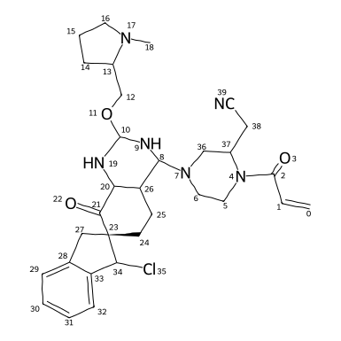 C=CC(=O)N1CCN(C2NC(OCC3CCCN3C)NC3C(=O)[C@@]4(CCC32)Cc2ccccc2C4Cl)CC1CC#N